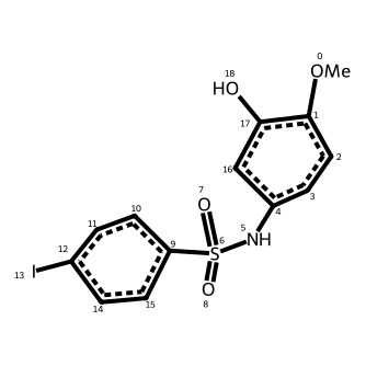 COc1ccc(NS(=O)(=O)c2ccc(I)cc2)cc1O